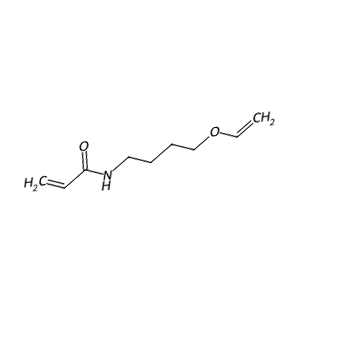 C=COCCCCNC(=O)C=C